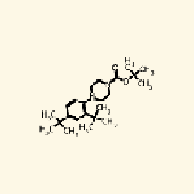 CC(C)(C)OC(=O)N1CCN(c2ccc(C(C)(C)C)cc2C(C)(C)C)CC1